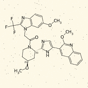 COc1ccc2nc(C(F)(F)F)n(CC(=O)N3CC[C@H](OC)C[C@H]3c3ncc(-c4cc5ccccc5nc4OC)[nH]3)c2c1